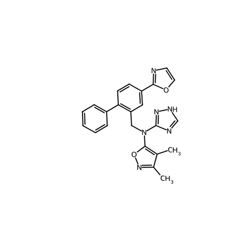 Cc1noc(N(Cc2cc(-c3ncco3)ccc2-c2ccccc2)c2nc[nH]n2)c1C